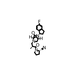 C[C@@H](CN1C[C@@H]2C[C@H]1C(=O)N2[C@H]1CCc2cc(F)ccc21)C(=O)N1CCC[C@H]1C#N